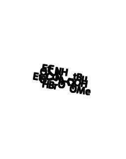 Br.CCOc1cc2c(c(F)c1OCC)C(=N)N(CC(=O)c1cc(OC)c(O)c(C(C)(C)C)c1)C2